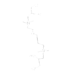 C[N+](C)(CCCOCC[N+](C)(C)CC(O)CCl)CC(O)CCl